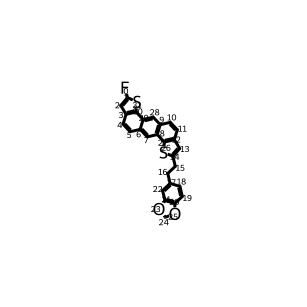 Fc1cc2ccc3cc4c(ccc5cc(CCc6ccc7c(c6)OCO7)sc54)cc3c2s1